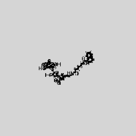 O=C(CCCCCNC(=O)c1cccc2ccccc12)NCC#Cc1cc([N+](=O)[O-])n([C@H]2C[C@@H](O)[C@@H](COP(=O)(O)OP(=O)(O)OP(=O)(O)O)O2)c1